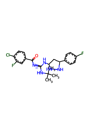 CC(C)(C)N/C(=N/C(=O)c1ccc(Cl)c(F)c1)NC1CC(c2ccc(F)cc2)NN1